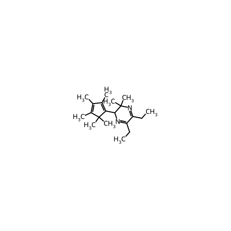 CCC1=NC(C2=C(C)C(C)=C(C)C2(C)C)C(C)(C)N=C1CC